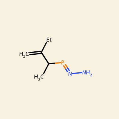 C=C(CC)C(C)P=NN